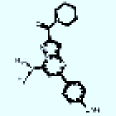 COc1ccc(-c2cc(N(C)C)n3nc(C(=O)N4CCCCC4)cc3n2)cc1